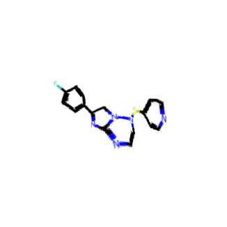 Fc1ccc(C2=NC3=NC=CN(Sc4ccncc4)N3C2)cc1